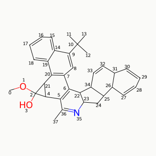 COC1(O)C2C3=C(c4cc(C(C)(C)C)c5ccccc5c4C21)C1C(CC2C4C=CC=CC4C=CC21)N=C3C